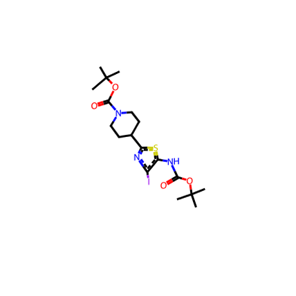 CC(C)(C)OC(=O)Nc1sc(C2CCN(C(=O)OC(C)(C)C)CC2)nc1I